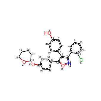 Oc1ccc(-c2c(-c3ccccc3Cl)noc2-c2ccc(OC3CCCCO3)cc2)cc1